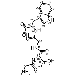 C[C@@H](O)[C@H](NC(=O)CN)C(=O)NCC(=O)N[C@@H](Cc1c[nH]c2ccccc12)C(=O)O